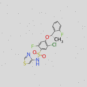 C[C@H](Oc1cc(F)c(S(=O)(=O)Nc2cscn2)cc1Cl)c1ccccc1F